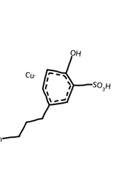 CCCCCCCCCCCCc1ccc(O)c(S(=O)(=O)O)c1.[Cu]